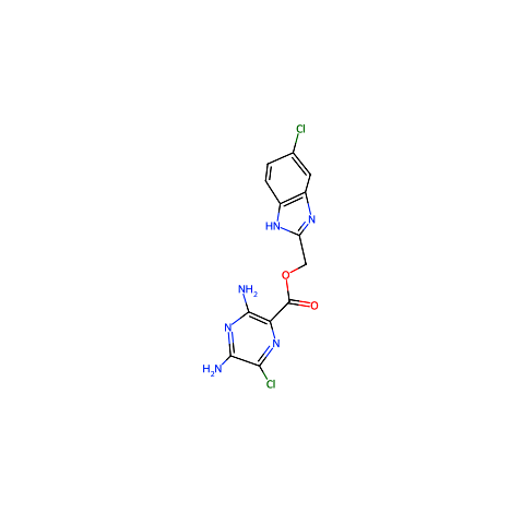 Nc1nc(N)c(C(=O)OCc2nc3cc(Cl)ccc3[nH]2)nc1Cl